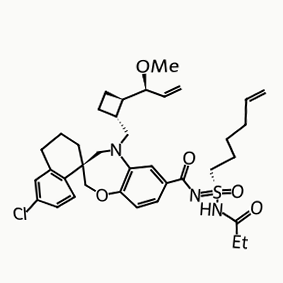 C=CCCCC[S@@](=O)(=NC(=O)c1ccc2c(c1)N(C[C@@H]1CC[C@H]1[C@H](C=C)OC)C[C@@]1(CCCc3cc(Cl)ccc31)CO2)NC(=O)CC